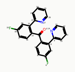 O=C(c1ccc(F)cc1-c1ccccn1)c1ccc(F)cc1-c1ccccn1